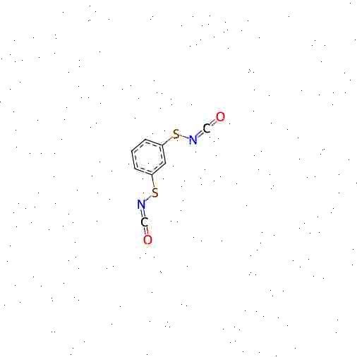 O=C=NSc1cccc(SN=C=O)c1